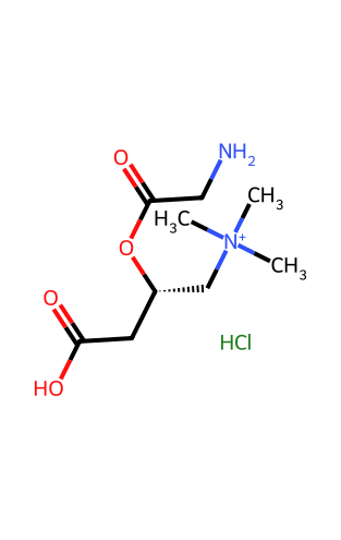 C[N+](C)(C)C[C@H](CC(=O)O)OC(=O)CN.Cl